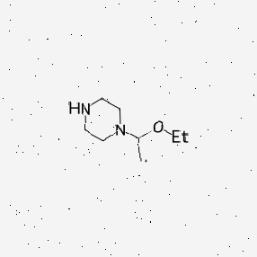 [CH2]C(OCC)N1CCNCC1